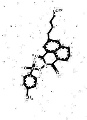 CCCCCCCCCCCCCCc1cc2c3c(cccc3c1)C(=O)N(OS(=O)(=O)c1ccc(C)cc1)C2=O